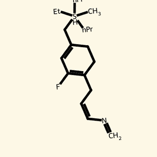 C=N/C=C\CC1=C(F)C=C(C[SH](C)(CC)(CCC)CCC)CC1